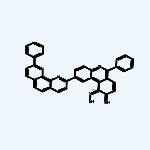 N=C1C=Cc2c(-c3ccccc3)nc3ccc(-c4ccc5ccc6ccc(-c7ccccc7)nc6c5n4)cc3c2/C1=N/S